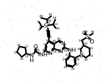 CC(C)[Si](C#Cc1cc(NC(=O)NC2CCCC2)nc2nc(Nc3ccccc3N3CCCC(CS(C)(=O)=O)C3)ncc12)(C(C)C)C(C)C